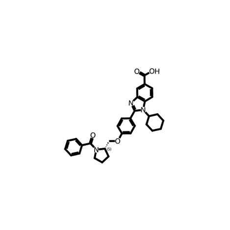 O=C(O)c1ccc2c(c1)nc(-c1ccc(OC[C@@H]3CCCN3C(=O)c3ccccc3)cc1)n2C1CCCCC1